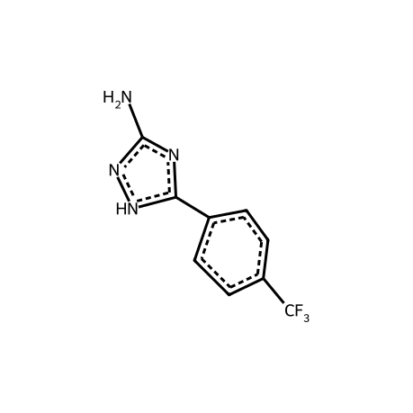 Nc1n[nH]c(-c2ccc(C(F)(F)F)cc2)n1